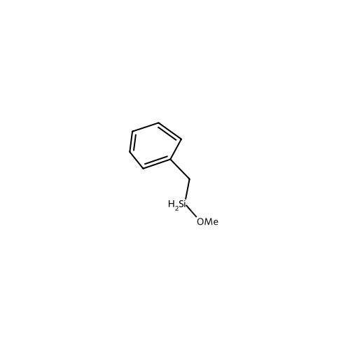 CO[SiH2]Cc1ccccc1